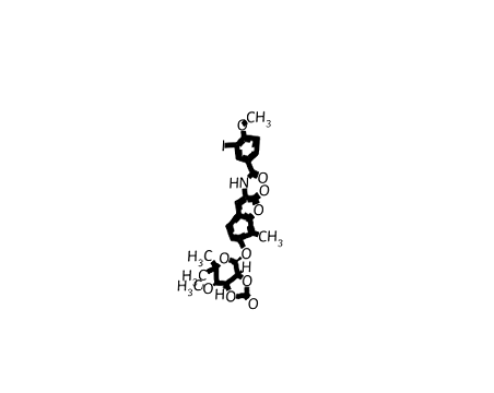 COc1ccc(C(=O)Nc2cc3ccc(O[C@@H]4OC(C)(C)[C@H](OC)[C@H]5OC(=O)O[C@@H]45)c(C)c3oc2=O)cc1I